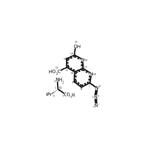 CC(C)[C@H](N)C(=O)O.[N-]=[N+]=Nc1ccc2c(C(=O)O)cc(O)nc2n1